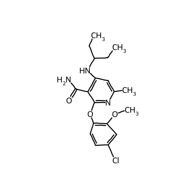 CCC(CC)Nc1cc(C)nc(Oc2ccc(Cl)cc2OC)c1C(N)=O